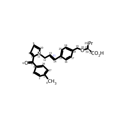 Cc1ccc(C(=O)c2cccn2C/C=C/c2ccc(CO[C@H](C(=O)O)C(C)C)cc2)cc1